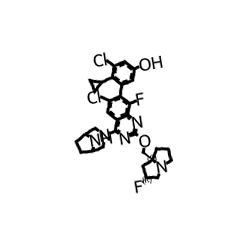 Oc1cc(Cl)c(C2CC2)c(-c2c(Cl)cc3c(N4CC5CCC(C4)N5)nc(OC[C@@]45CCCN4C[C@H](F)C5)nc3c2F)c1